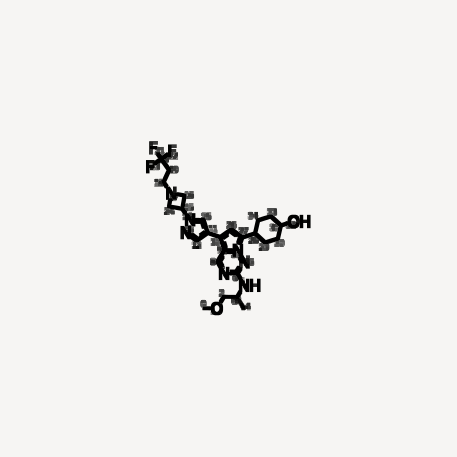 COC[C@H](C)Nc1ncc2c(-c3cnn(C4CN(CCC(F)(F)F)C4)c3)cc(C3CCC(O)CC3)n2n1